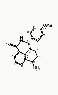 COc1ccc([C@H]2NC(=O)c3cccc4c3N2CC[C@H]4N)cc1